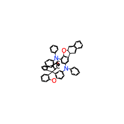 C1=c2ccccc2=CC2c3cc(N(c4ccccc4)c4ccc5c(c4)C4(c6ccccc6O5)c5ccccc5-c5ccccc54)cc(N(c4ccccc4)c4ccccc4)c3OC12